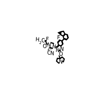 C=C(F)C(=O)N1CCN(c2nc(OCC34CCCN3CCC4)nc3cc(-c4cccc5c4C4C=C4C5)c(F)cc23)C[C@@H]1CC#N